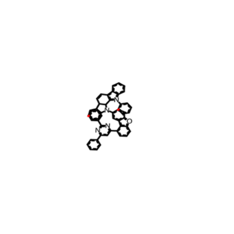 C1=CC2c3ccccc3N(c3ccc4oc5cccc(-c6cc(-c7ccccc7)nc(-c7ccccc7)n6)c5c4c3)C2c2c1c1ccccc1n2-c1ccccc1